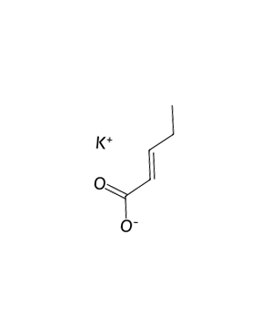 CCC=CC(=O)[O-].[K+]